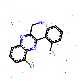 NCc1nc2cccc(Cl)c2nc1-c1ccccc1C(F)(F)F